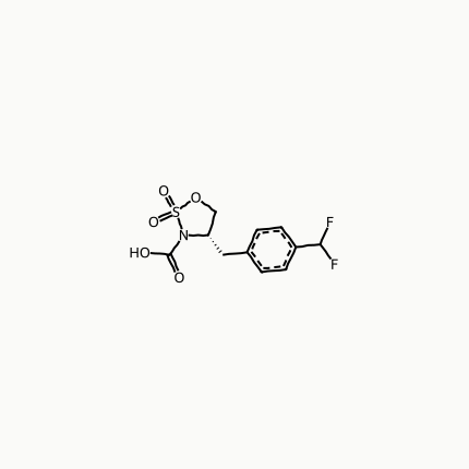 O=C(O)N1[C@@H](Cc2ccc(C(F)F)cc2)COS1(=O)=O